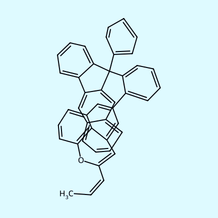 C/C=C\C1=Cc2cc(-c3ccccc3C3(c4ccccc4)c4ccccc4-c4cc5ccccc5cc43)cc3cccc(c23)O1